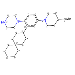 COC1CCN(c2ccc(N3CCNCC3)c(C3CCC4(CCCCC4)CC3)c2)CC1